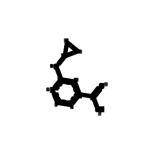 O=C(O)c1ccnc(OC2CC2)c1